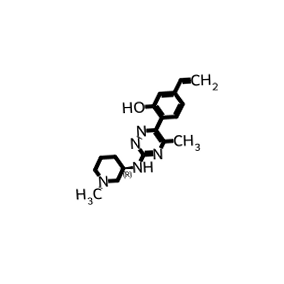 C=Cc1ccc(-c2nnc(N[C@@H]3CCCN(C)C3)nc2C)c(O)c1